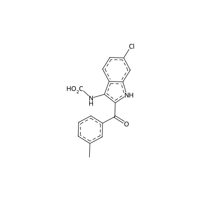 Cc1cccc(C(=O)c2[nH]c3cc(Cl)ccc3c2NC(=O)O)c1